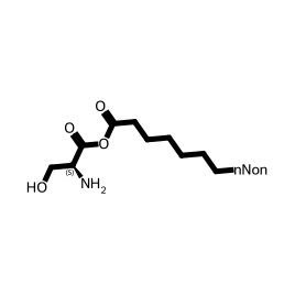 CCCCCCCCCCCCCCCC(=O)OC(=O)[C@@H](N)CO